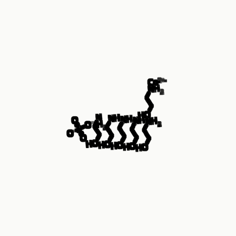 NCCO.NCCO.NCCO.NCCO.NCCO.NCCO.O=S(=O)([O-])[O-].[Co+2]